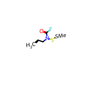 C=CCN(SSC)C(=O)F